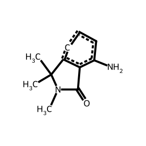 CN1C(=O)c2c(N)cccc2C1(C)C